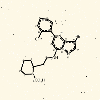 O=C(O)N1CCCCC1CCNc1cc(-c2ccccc2Cl)nc2c(Br)cnn12